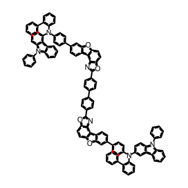 c1ccc(-c2ccccc2N(c2ccc(-c3ccc4c(c3)oc3ccc5oc(-c6ccc(-c7ccc(-c8nc9c(ccc%10oc%11cc(-c%12ccc(N(c%13ccccc%13-c%13ccccc%13)c%13cccc%14c%13c%13ccccc%13n%14-c%13ccccc%13)cc%12)ccc%11c%109)o8)cc7)cc6)nc5c34)cc2)c2ccc3c(c2)c2ccccc2n3-c2ccccc2)cc1